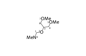 CNCOC(COC)COC